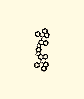 c1ccc(N(c2cccc3ccccc23)c2cc3oc4cc5oc6cc(N(c7ccccc7)c7cccc8ccccc78)c7ccccc7c6c5cc4c3c3ccccc23)cc1